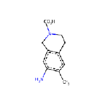 Nc1cc2c(cc1C(F)(F)F)CCN(C(=O)O)C2